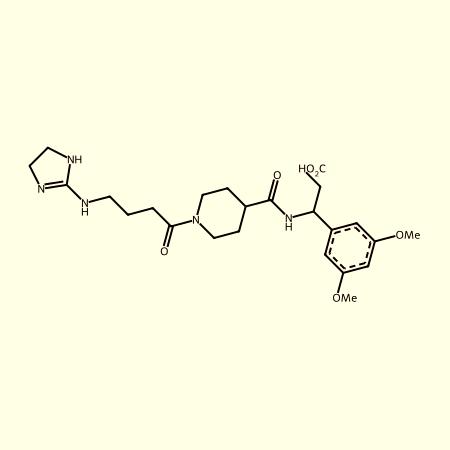 COc1cc(OC)cc(C(CC(=O)O)NC(=O)C2CCN(C(=O)CCCNC3=NCCN3)CC2)c1